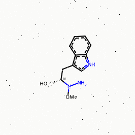 CON(N)[C@@H](Cc1c[nH]c2ccccc12)C(=O)O